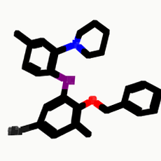 Cc1ccc(Pc2cc(C(C)(C)C)cc(C)c2OCc2ccccc2)c(N2CCCCC2)c1